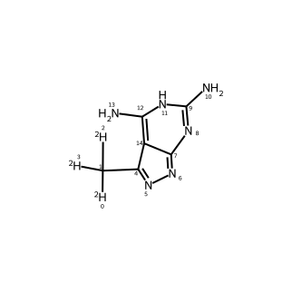 [2H]C([2H])([2H])c1nnc2nc(N)[nH]c(N)c1-2